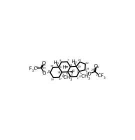 C[C@]12CC[C@@]3(F)[C@@H](CC[C@H]4C[C@@H](OC(=O)C(F)(F)F)CC[C@@]43C)[C@@H]1CC[C@@H]2OC(=O)C(F)(F)F